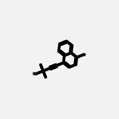 CC(C)(O)C#Cc1ccc(Br)c2ccccc12